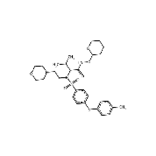 Cc1ccc(Sc2ccc(S(=O)(=O)N(CCN3CCOCC3)C(C(=O)NOC3CCCCO3)C(C)C)cc2)cc1